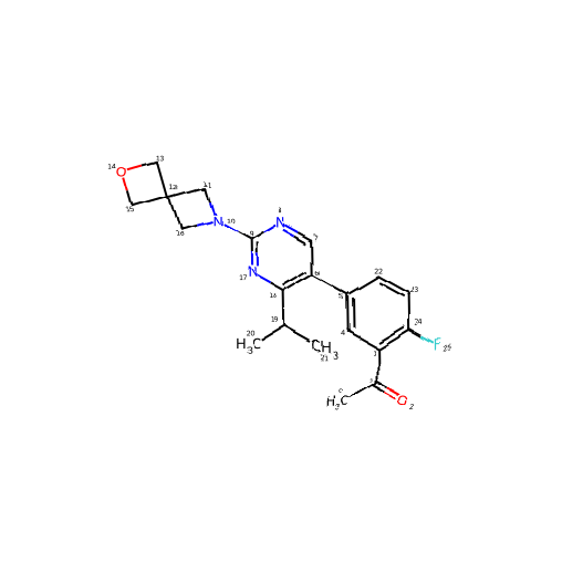 CC(=O)c1cc(-c2cnc(N3CC4(COC4)C3)nc2C(C)C)ccc1F